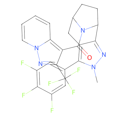 Cn1nc2c(c1-c1cc(F)c(F)c(F)c1)CC1CCC2N1C(=O)c1c(C(F)(F)F)nn2ccccc12